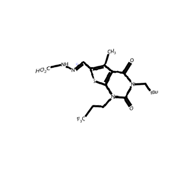 Cc1c(/C=N/NC(=O)O)sc2c1c(=O)n(CC(C)(C)C)c(=O)n2CCC(F)(F)F